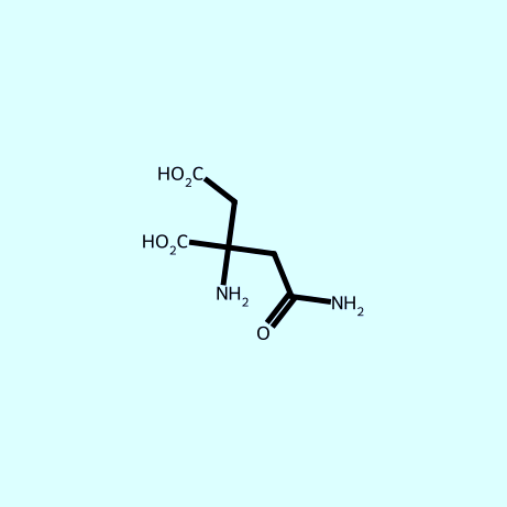 NC(=O)CC(N)(CC(=O)O)C(=O)O